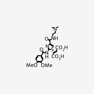 COc1ccc(C(=O)Nc2nc(C(=O)NCCN(C)C)cs2)cc1OC.O=C(O)C=CC(=O)O